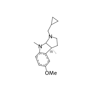 COc1ccc2c(c1)[C@]1(C)CCN(CC3CC3)C1N2C